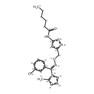 CCCCCC(=O)Nc1nc(CO/N=C(\c2cccc(Cl)c2)n2nnnc2C)ns1